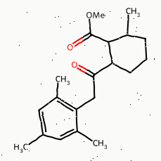 COC(=O)C1C(C)CCCC1C(=O)Cc1c(C)cc(C)cc1C